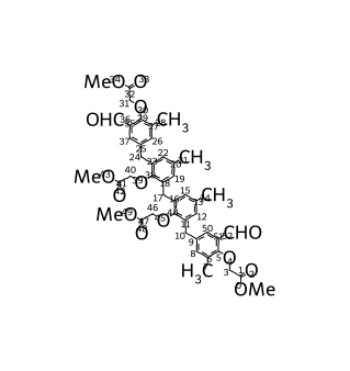 COC(=O)COc1c(C)cc(Cc2cc(C)cc(Cc3cc(C)cc(Cc4cc(C)c(OCC(=O)OC)c(C=O)c4)c3OCC(=O)OC)c2OCC(=O)OC)cc1C=O